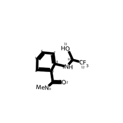 CNC(=O)c1ccccc1NC(O)C(F)(F)F